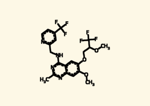 COc1cc2nc(C)nc(NCc3cc(C(F)(F)F)ccn3)c2cc1OCC(OC)C(F)(F)F